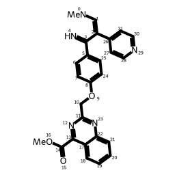 CN/C=C(\C(=N)c1ccc(OCc2nc(C(=O)OC)c3ccccc3n2)cc1)c1ccncc1